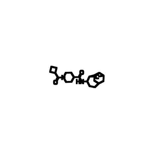 O=C(NC1CCC2CC3CC(C2)C1C3)C1CCN(C(=O)C2CCC2)CC1